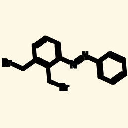 BrCc1cccc(N=Nc2ccccc2)c1CBr